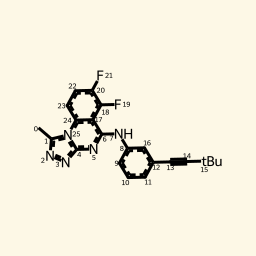 Cc1nnc2nc(Nc3cccc(C#CC(C)(C)C)c3)c3c(F)c(F)ccc3n12